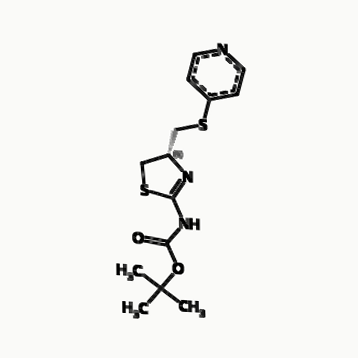 CC(C)(C)OC(=O)NC1=N[C@@H](CSc2ccncc2)CS1